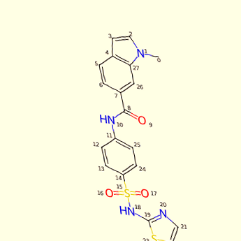 Cn1ccc2ccc(C(=O)Nc3ccc(S(=O)(=O)Nc4nccs4)cc3)cc21